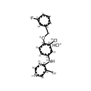 Cl.Fc1cccc(COc2ccc(Nc3ncncc3I)cc2Cl)c1